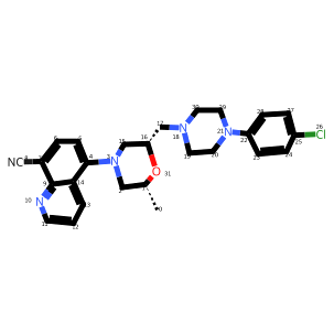 C[C@@H]1CN(c2ccc(C#N)c3ncccc23)C[C@H](CN2CCN(c3ccc(Cl)cc3)CC2)O1